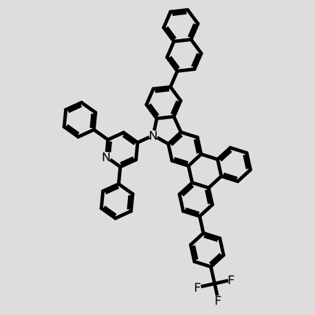 FC(F)(F)c1ccc(-c2ccc3c(c2)c2ccccc2c2cc4c5cc(-c6ccc7ccccc7c6)ccc5n(-c5cc(-c6ccccc6)nc(-c6ccccc6)c5)c4cc32)cc1